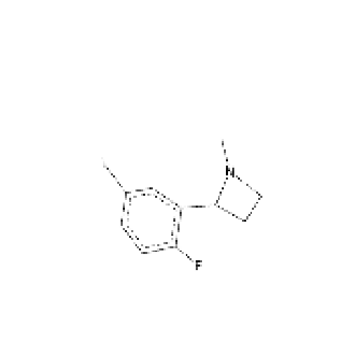 CN1CCC1c1cc(I)ccc1F